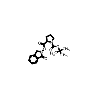 CC(C)(C)OC(=O)N1CCCC1C(=O)ON1Cc2ccccc2C1=O